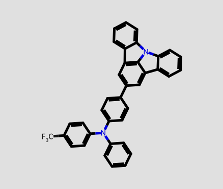 FC(F)(F)c1ccc(N(c2ccccc2)c2ccc(-c3cc4c5ccccc5n5c6ccccc6c(c3)c45)cc2)cc1